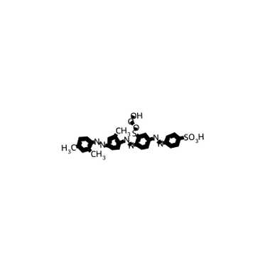 Cc1ccc(N=Nc2ccc(N=Nc3ccc(N=Nc4ccc(S(=O)(=O)O)cc4)cc3SOOO)c(C)c2)c(C)c1